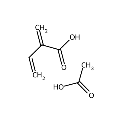 C=CC(=C)C(=O)O.CC(=O)O